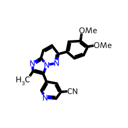 COc1ccc(-c2ccc3nc(C)c(-c4cncc(C#N)c4)n3n2)cc1OC